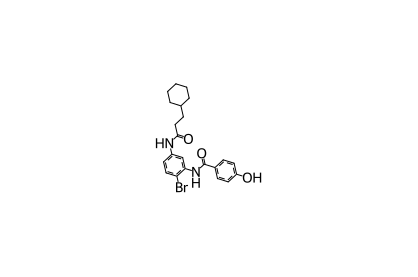 O=C(CCC1CCCCC1)Nc1ccc(Br)c(NC(=O)c2ccc(O)cc2)c1